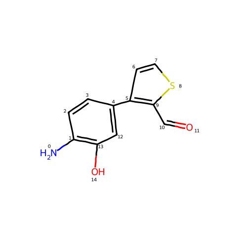 Nc1ccc(-c2ccsc2C=O)cc1O